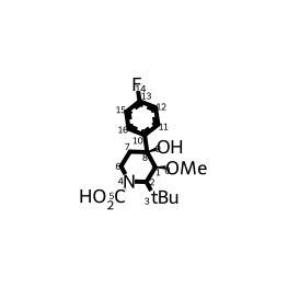 CO[C@H]1C(C(C)(C)C)N(C(=O)O)CC[C@]1(O)c1ccc(F)cc1